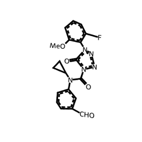 COc1cccc(F)c1-n1nnn(C(=O)N(c2cccc(C=O)c2)C2CC2)c1=O